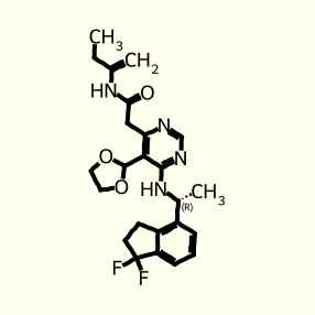 C=C(CC)NC(=O)Cc1ncnc(N[C@H](C)c2cccc3c2CCC3(F)F)c1C1OCCO1